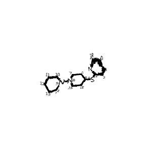 c1ccc(SC2CCN(N3CCCCC3)CC2)nc1